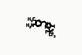 Cc1cc(Cn2cc(I)c(C(F)(F)C(F)(F)F)n2)ccc1N